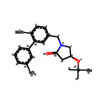 COc1ccc(CN2C[C@@H](O[Si](C)(C)C(C)(C)C)CC2=O)cc1-c1cccc([N+](=O)[O-])c1